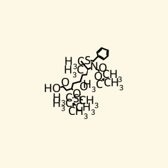 CC(C)(C)OC(=O)N1C(c2ccccc2)SC(C)(C)[C@@H]1CCC(=O)CC(CC(=O)O)O[Si](C)(C)C(C)(C)C